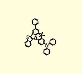 C[Si]1(C)c2cc(N(c3ccccc3)c3ccccc3)ccc2B2c3c(cc(-c4ccccc4)cc31)-c1sc3ccccc3c12